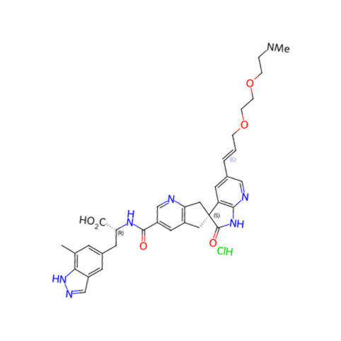 CNCCOCCOC/C=C/c1cnc2c(c1)[C@@]1(Cc3cc(C(=O)N[C@H](Cc4cc(C)c5[nH]ncc5c4)C(=O)O)cnc3C1)C(=O)N2.Cl